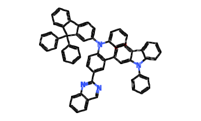 c1ccc(N(c2ccc3c(c2)C(c2ccccc2)(c2ccccc2)c2ccccc2-3)c2ccc(-c3ncc4ccccc4n3)cc2-c2ccc3c4ccccc4n(-c4ccccc4)c3c2)cc1